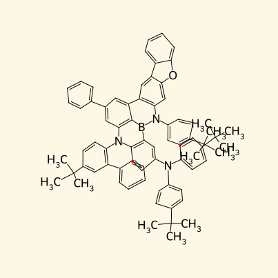 CC(C)(C)c1ccc(N2B3c4cc(N(c5ccc(C(C)(C)C)cc5)c5ccc(C(C)(C)C)cc5)ccc4N(c4ccc(C(C)(C)C)cc4-c4ccccc4)c4cc(-c5ccccc5)cc(c43)-c3cc4c(cc32)oc2ccccc24)cc1